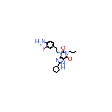 CCCn1c(=O)c2[nH]c(C3CCCC3)nc2n(CCc2ccc(N)c(I)c2)c1=O